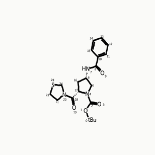 CC(C)(C)OC(=O)N1C[C@@H](NC(=O)c2ccccc2)C[C@H]1C(=O)N1CCSC1